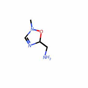 CN1C=NC(CN)O1